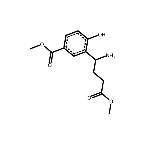 COC(=O)CCC(N)c1cc(C(=O)OC)ccc1O